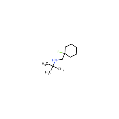 CC(C)(C)NCC1(F)CCCCC1